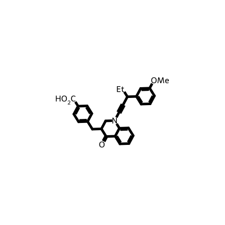 CCC(C#CN1CC(Cc2ccc(C(=O)O)cc2)C(=O)c2ccccc21)c1cccc(OC)c1